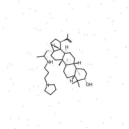 C=C(C)[C@@H]1CC[C@]2(CC(C)NCCCN3CCCC3)CC[C@]3(C)[C@H](CC[C@@H]4[C@@]5(C)CC[C@H](O)C(C)(C)[C@@H]5CC[C@]43C)[C@@H]12